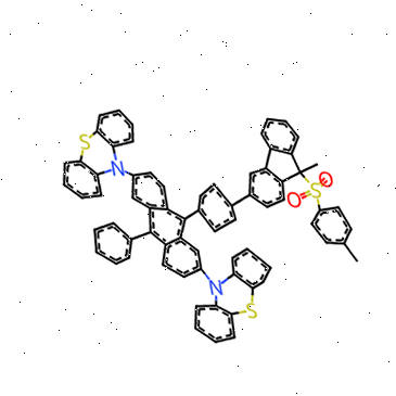 Cc1ccc(S(=O)(=O)C2(C)c3ccccc3-c3cc(-c4ccc(-c5c6ccc(N7c8ccccc8Sc8ccccc87)cc6c(-c6ccccc6)c6ccc(N7c8ccccc8Sc8ccccc87)cc56)cc4)ccc32)cc1